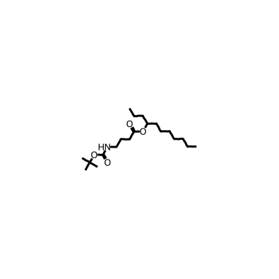 CCCCCCCC(CCC)OC(=O)CCCNC(=O)OC(C)(C)C